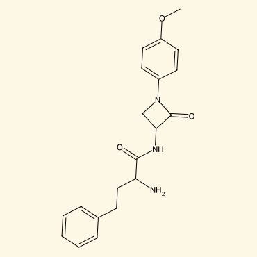 COc1ccc(N2CC(NC(=O)C(N)CCc3ccccc3)C2=O)cc1